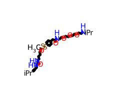 CC(C)C#CCNC(=O)NCCCCO[C@H](C)SSc1ccc(CC(=O)NCCOCCOCCOCCNC(C)C)cc1